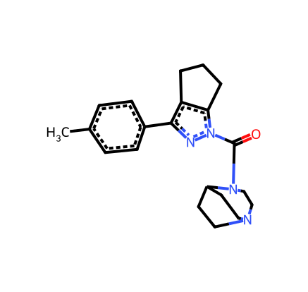 Cc1ccc(-c2nn(C(=O)N3CCN4CCC3CC4)c3c2CCC3)cc1